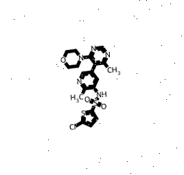 Cc1ncc(-c2c(C)ncnc2N2CCOCC2)cc1NS(=O)(=O)c1ccc(Cl)s1